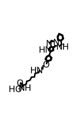 C[C@@H](Nc1ncnc2[nH]c(-c3ccc(OCCNCCCCCCCC(=O)NO)cc3)cc12)c1ccccc1